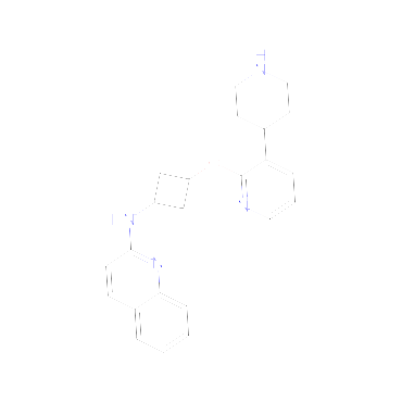 c1cnc(OC2CC(Nc3ccc4ccccc4n3)C2)c(C2CCNCC2)c1